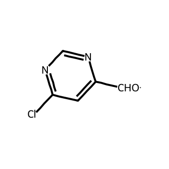 O=[C]c1cc(Cl)ncn1